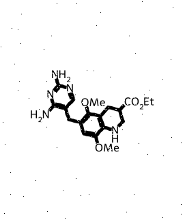 CCOC(=O)C1CNc2c(OC)cc(Cc3cnc(N)nc3N)c(OC)c2C1